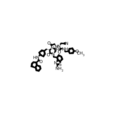 COc1ccc(CNC(=O)N(CC#N)N2CC(=O)N3[C@@H](Cc4ccc(NC(=O)c5cccc6ccccc56)cc4)C(=O)N(Cc4cccc5sc(N)nc45)C[C@@H]32)cc1